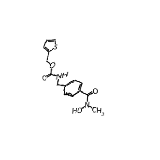 CN(O)C(=O)c1ccc(CNC(=O)OCc2cccs2)cc1